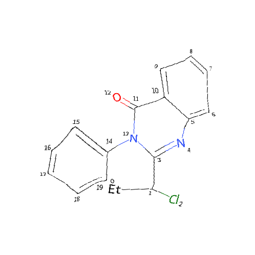 CCC(Cl)c1nc2ccccc2c(=O)n1-c1ccccc1